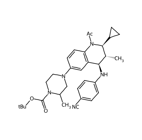 CC(=O)N1c2ccc(N3CCN(C(=O)OC(C)(C)C)C(C)C3)cc2[C@H](Nc2ccc(C#N)cc2)[C@@H](C)[C@@H]1C1CC1